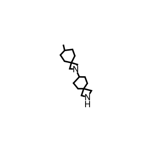 CC1CCC2(CC1)CN(C1CCC3(CC1)CNC3)C2